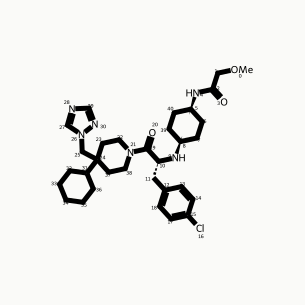 COCC(=O)N[C@H]1CC[C@@H](N[C@H](Cc2ccc(Cl)cc2)C(=O)N2CCC(Cn3cncn3)(C3CCCCC3)CC2)CC1